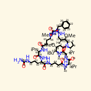 CCC(C)[C@@H]([C@@H](CC(=O)N1CCC[C@H]1[C@H](OC)[C@@H](C)CNC(Cc1ccccc1)C(=O)OC)OC)N(C)C(=O)[C@@H](NC(=O)[C@H](C(C)C)N(C)C(=O)CCCNC(=O)[C@@H](CCCNC(N)=O)NC(=O)[C@H](NC(=O)CCCN=[N+]=[N-])C(C)C)C(C)C